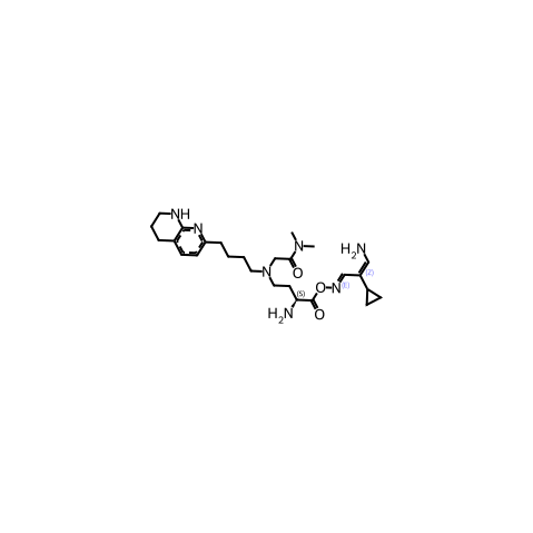 CN(C)C(=O)CN(CCCCc1ccc2c(n1)NCCC2)CC[C@H](N)C(=O)O/N=C/C(=C\N)C1CC1